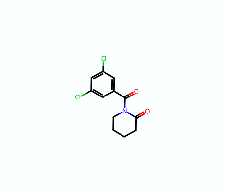 O=C1CCCCN1C(=O)c1cc(Cl)cc(Cl)c1